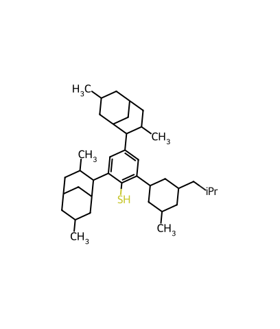 CC(C)CC1CC(C)CC(c2cc(C3C(C)CC4CC(C)CC3C4)cc(C3C(C)CC4CC(C)CC3C4)c2S)C1